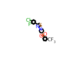 O=S(=O)(c1cccc(C(F)(F)F)c1)C1CCN(c2nc(-c3ccc(Cl)c(F)c3)cs2)CC1